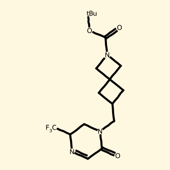 CC(C)(C)OC(=O)N1CC2(CC(CN3CC(C(F)(F)F)N=CC3=O)C2)C1